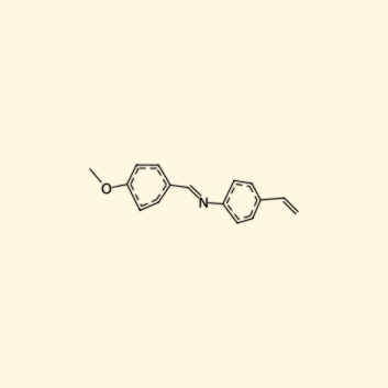 C=Cc1ccc(/N=C/c2ccc(OC)cc2)cc1